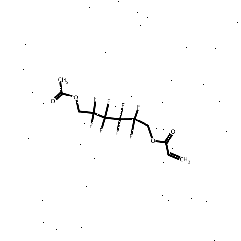 C=CC(=O)OCC(F)(F)C(F)(F)C(F)(F)C(F)(F)COC(C)=O